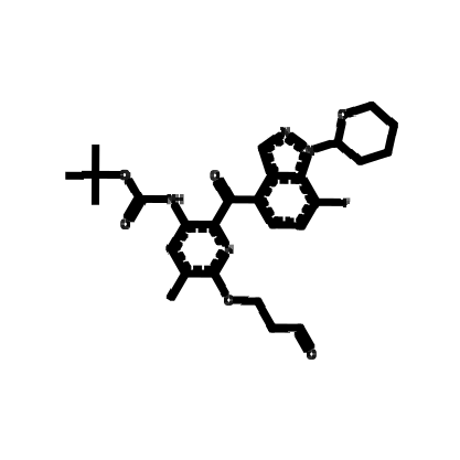 Cc1cc(NC(=O)OC(C)(C)C)c(C(=O)c2ccc(F)c3c2cnn3C2CCCCO2)nc1OCCC=O